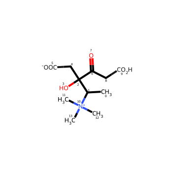 CC(C(O)(CC(=O)[O-])C(=O)CC(=O)O)[N+](C)(C)C